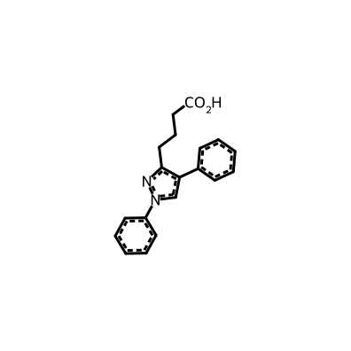 O=C(O)CCCc1nn(-c2ccccc2)cc1-c1ccccc1